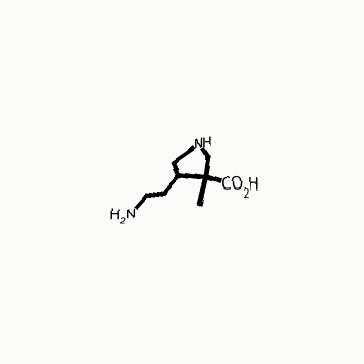 CC1(C(=O)O)CNCC1CCN